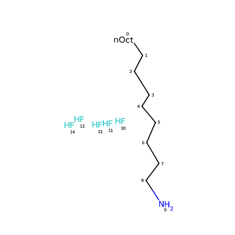 CCCCCCCCCCCCCCCCN.F.F.F.F.F